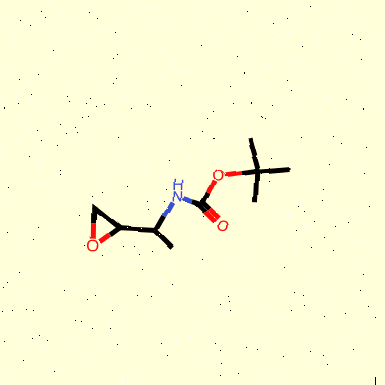 CC(NC(=O)OC(C)(C)C)C1CO1